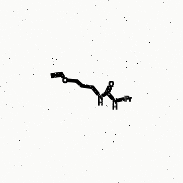 C=COCCCNC(=O)NC(C)C